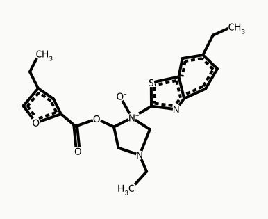 CCc1coc(C(=O)OC2CN(CC)C[N+]2([O-])c2nc3ccc(CC)cc3s2)c1